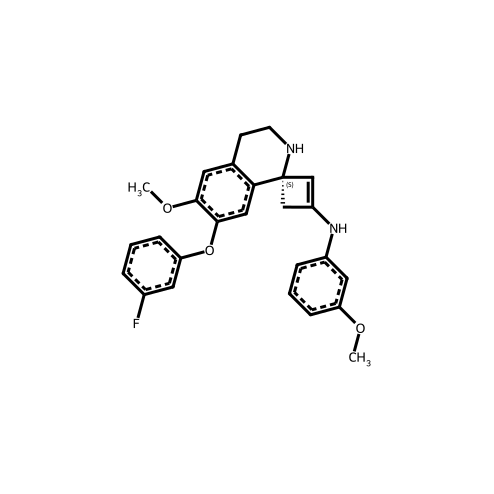 COc1cccc(NC2=C[C@]3(C2)NCCc2cc(OC)c(Oc4cccc(F)c4)cc23)c1